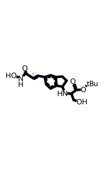 CC(C)(C)OC(=O)C(CO)NC1CCc2cc(/C=C/C(=O)NO)ccc21